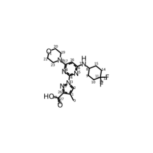 Cc1cn(-c2nc(NC3CCC(F)(F)CC3)cc(N3CCOCC3)n2)nc1C(=O)O